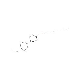 CCCCCCCCOc1ccc(-c2ccc(CBr)cc2)cc1